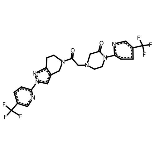 O=C(CN1CCN(c2ccc(C(F)(F)F)cn2)C(=O)C1)N1CCc2nn(-c3ccc(C(F)(F)F)cn3)cc2C1